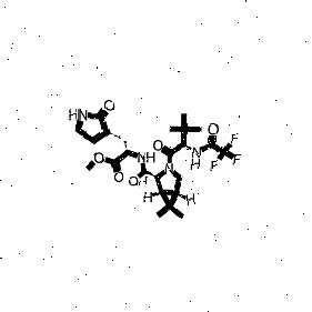 COC(=O)[C@H](C[C@@H]1CCNC1=O)NC(O)[C@@H]1[C@@H]2[C@H](CN1C(=O)[C@@H](NC(=O)C(F)(F)F)C(C)(C)C)C2(C)C